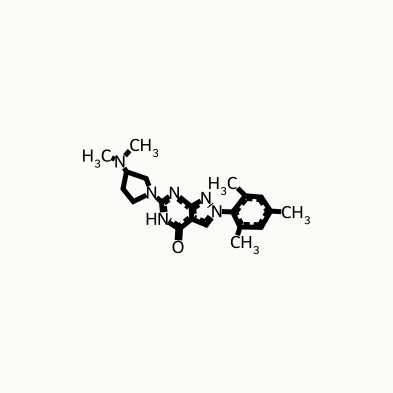 Cc1cc(C)c(-n2cc3c(=O)[nH]c(N4CCC(N(C)C)C4)nc3n2)c(C)c1